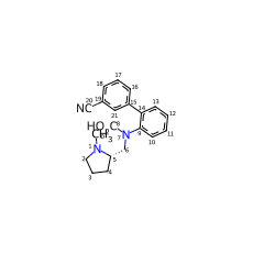 CN1CCC[C@H]1CN(C(=O)O)c1ccccc1-c1cccc(C#N)c1